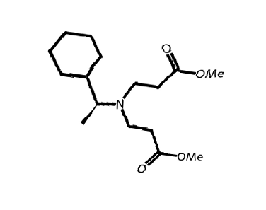 COC(=O)CCN(CCC(=O)OC)[C@@H](C)C1CCCCC1